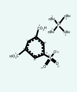 CCCC[P+](CCCC)(CCCC)CCCC.O=C(O)c1cc(C(=O)O)cc(S(=O)(=O)[O-])c1